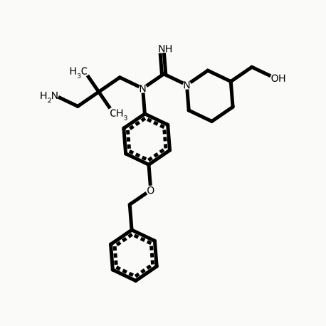 CC(C)(CN)CN(C(=N)N1CCCC(CO)C1)c1ccc(OCc2ccccc2)cc1